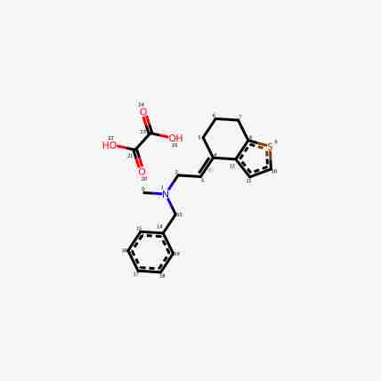 CN(C/C=C1\CCCc2sccc21)Cc1ccccc1.O=C(O)C(=O)O